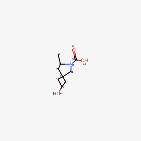 CC1CC2(CC(O)C2)CN1C(=O)O